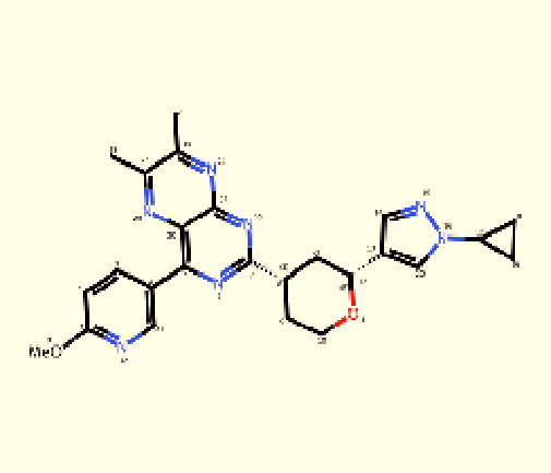 COc1ccc(-c2nc([C@H]3CCO[C@@H](c4cnn(C5CC5)c4)C3)nc3nc(C)c(C)nc23)cn1